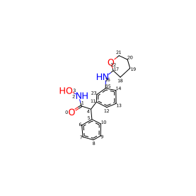 O=C(NO)C(c1ccccc1)c1cccc(NC2CCCCO2)c1